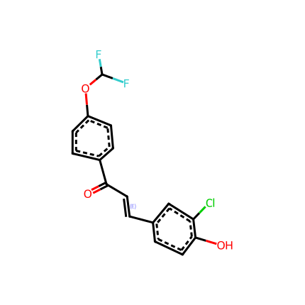 O=C(/C=C/c1ccc(O)c(Cl)c1)c1ccc(OC(F)F)cc1